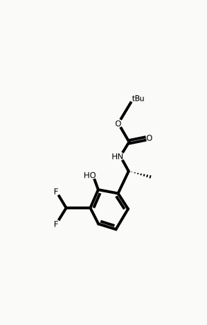 C[C@@H](NC(=O)OC(C)(C)C)c1cccc(C(F)F)c1O